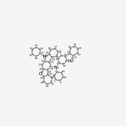 c1ccc(N(c2ccc3c(c2)oc2ccccc23)c2c3c(cc4c2c2ccccc2n4-c2ccccc2)oc2ccccc23)cc1